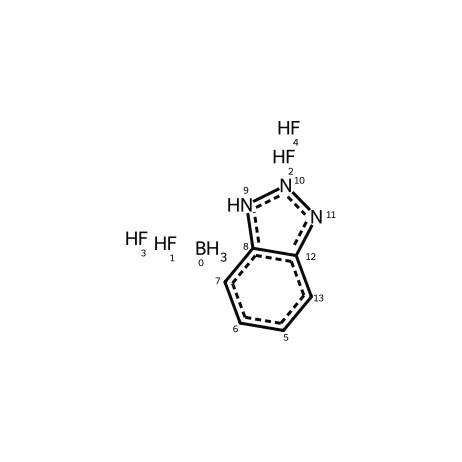 B.F.F.F.F.c1ccc2[nH]nnc2c1